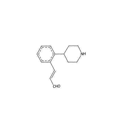 O=CC=Cc1ccccc1C1CCNCC1